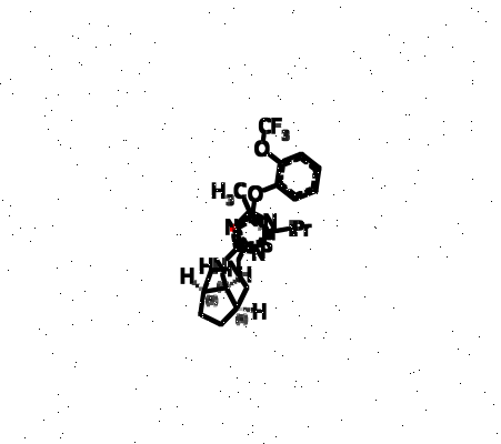 Cc1cc(N2C[C@H]3CC[C@@H](C2)[C@H]3Nc2nc(Oc3ccccc3OC(F)(F)F)n(C(C)C)n2)sn1